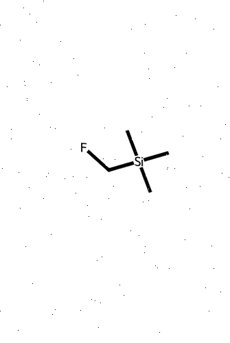 C[Si](C)(C)CF